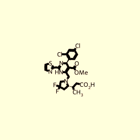 COC(=O)C1=C(CN2CC(F)(F)C[C@H]2C(C)CC(=O)O)NC(c2nccs2)=N[C@H]1c1ccc(Cl)cc1Cl